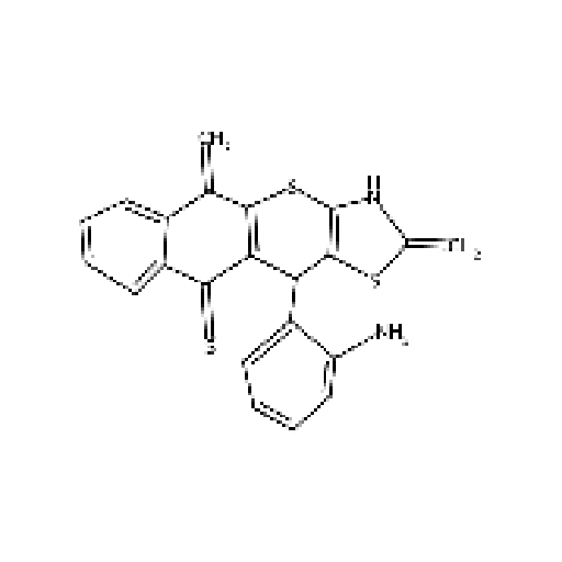 C=C1NC2=C(S1)C(c1ccccc1N)C1=C(S2)C(=C)c2ccccc2C1=S